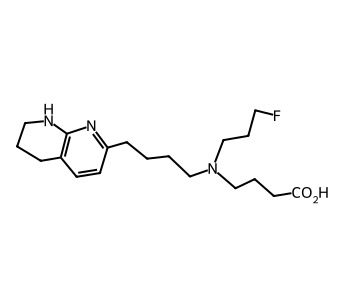 O=C(O)CCCN(CCCF)CCCCc1ccc2c(n1)NCCC2